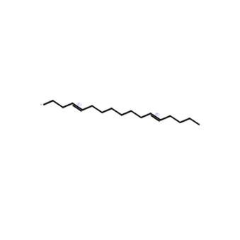 [CH2]CC/C=C/CCCCCC/C=C/CCCC